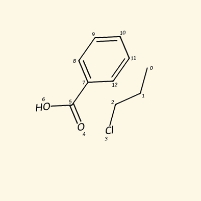 CCCCl.O=C(O)c1ccccc1